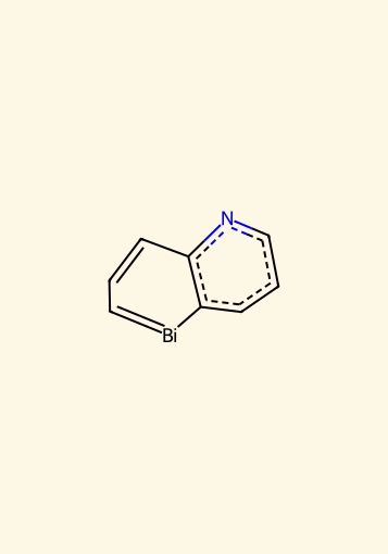 C1=Cc2nccc[c]2[Bi]=[CH]1